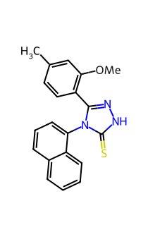 COc1cc(C)ccc1-c1n[nH]c(=S)n1-c1cccc2ccccc12